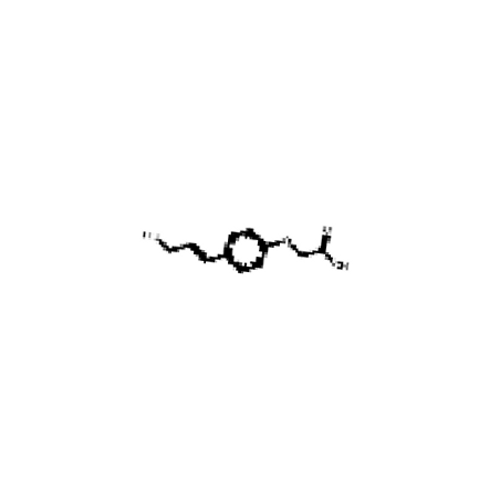 O=C(O)COc1ccc(C=CCO)cc1